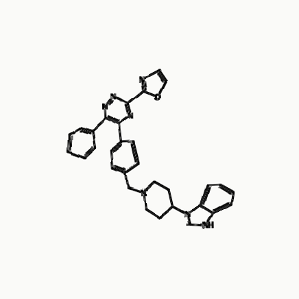 [CH]1Nc2ccccc2N1C1CCN(Cc2ccc(-c3nc(-c4ncco4)nnc3-c3ccccc3)cc2)CC1